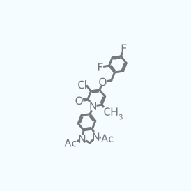 CC(=O)N1CN(C(C)=O)c2cc(-n3c(C)cc(OCc4ccc(F)cc4F)c(Cl)c3=O)ccc21